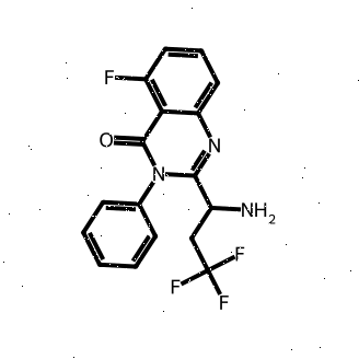 NC(CC(F)(F)F)c1nc2cccc(F)c2c(=O)n1-c1ccccc1